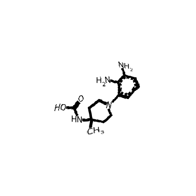 CC1(NC(=O)O)CCN(c2cccc(N)c2N)CC1